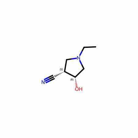 CCN1C[C@@H](C#N)[C@@H](O)C1